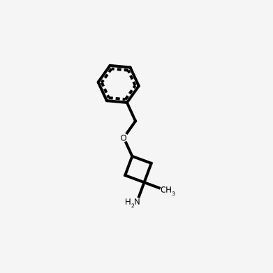 CC1(N)CC(OCc2ccccc2)C1